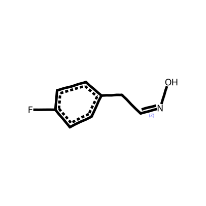 O/N=C\Cc1ccc(F)cc1